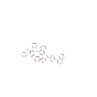 CC1(C)c2ccccc2-c2c1c1c3ccccc3n(-c3cc4c5ccccc5c(-c5ccc(-c6cccc7ccccc67)cc5)cc4c4ccccc34)c1c1c2oc2ccccc21